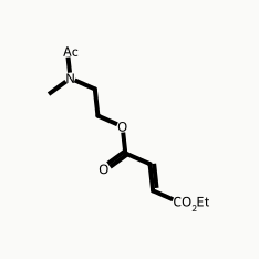 CCOC(=O)/C=C/C(=O)OCCN(C)C(C)=O